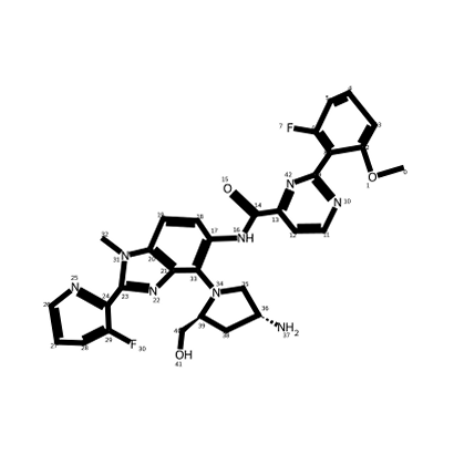 COc1cccc(F)c1-c1nccc(C(=O)Nc2ccc3c(nc(-c4ncccc4F)n3C)c2N2C[C@H](N)C[C@H]2CO)n1